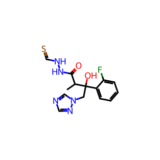 CC(C(=O)NNC=S)C(O)(Cn1cncn1)c1ccccc1F